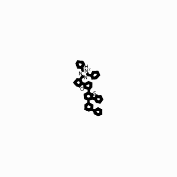 N/C(=N\C(=N/Cc1ccccc1)c1cccc2oc3c(-c4ccc(-c5cccc(-c6ccccc6)c5)c5c4sc4ccccc45)cccc3c12)c1ccccc1